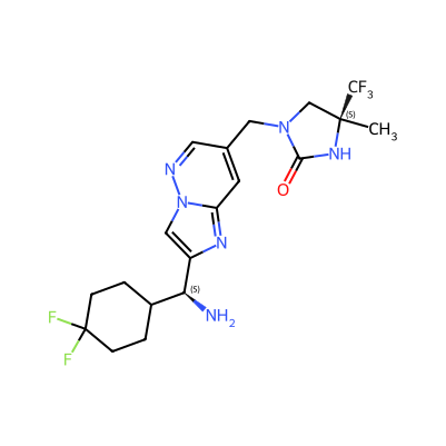 C[C@@]1(C(F)(F)F)CN(Cc2cnn3cc([C@@H](N)C4CCC(F)(F)CC4)nc3c2)C(=O)N1